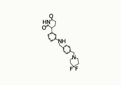 O=C1CCC(c2cccc(NCc3ccc(CN4CCC(F)(F)CC4)cc3)c2)C(=O)N1